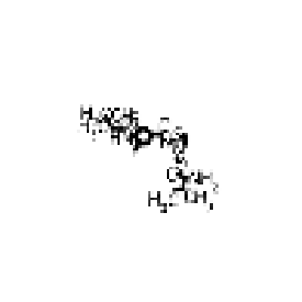 CCC(C)C(N)C(=O)OCn1ccsc1=NC(=O)c1cc(F)c(NC(=O)CC(C)(C)C)c(F)c1